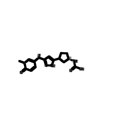 Cn1cc(Nc2cc(C3CC[C@H](NC(=O)O)C3)[nH]n2)ccc1=O